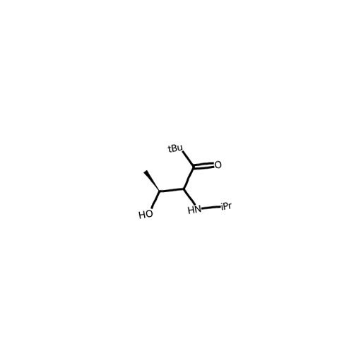 CC(C)NC(C(=O)C(C)(C)C)[C@H](C)O